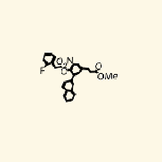 COC(=O)CCc1cc(-c2ccc3ccccc3c2)c(OCCc2ccccc2F)c([N+](=O)[O-])c1